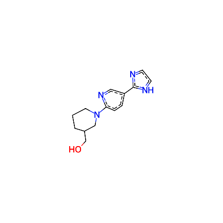 OCC1CCCN(c2ccc(-c3ncc[nH]3)cn2)C1